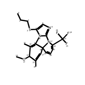 CCCSc1cnc2n1C1=C(C)C(OC)C(C)=CC13C=CC=C(C(F)(F)F)N23